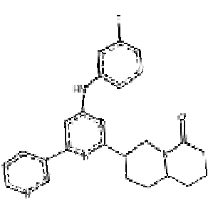 O=C1CCCC2CCC(c3nc(Nc4cccc(F)c4)cc(-c4cccnc4)n3)CN12